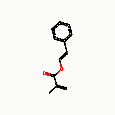 C=C(C)C(=O)OC=Cc1ccccc1